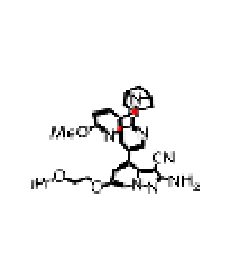 COc1ccc(CN2C3CC2CN(c2ccc(-c4cc(OCCOC(C)C)cn5nc(N)c(C#N)c45)cn2)C3)cn1